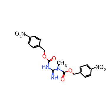 CN(C(=N)NC(=O)OCc1ccc([N+](=O)[O-])cc1)C(=O)OCc1ccc([N+](=O)[O-])cc1